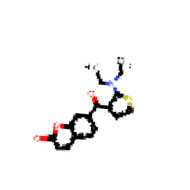 CCN(CC)c1sccc1C(=O)c1ccc2ccc(=O)oc2c1